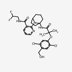 CC(C)(Oc1cc(Cl)c(CO)cc1Cl)C(=O)NC12CCCC(CC1)N2c1ncccc1C(=O)NCC(F)F